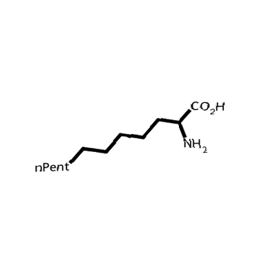 CCCCCCCCCCC(N)C(=O)O